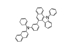 C1=CCCC(N(c2cccc(-c3cc4ccccc4c4c3c3ccccc3n4-c3ccccc3)c2)c2ccc3ccccc3c2)=C1